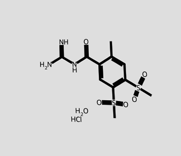 Cc1cc(S(C)(=O)=O)c(S(C)(=O)=O)cc1C(=O)NC(=N)N.Cl.O